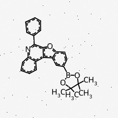 CC1(C)OB(c2ccc3oc4c(-c5ccccc5)nc5ccccc5c4c3c2)OC1(C)C